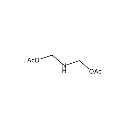 CC(=O)OCNCOC(C)=O